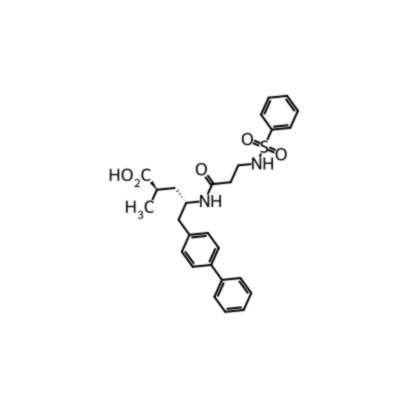 C[C@H](C[C@@H](Cc1ccc(-c2ccccc2)cc1)NC(=O)CCNS(=O)(=O)c1ccccc1)C(=O)O